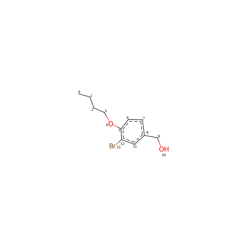 CCCCOc1ccc(CO)cc1Br